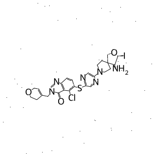 N[C@@H]1[C@H](I)OCC12CCN(c1cnc(Sc3ccc4ncn(CC5=CCOCC5)c(=O)c4c3Cl)cn1)CC2